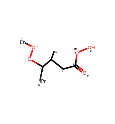 CCCC(OOCC)C(C)CC(=O)OO